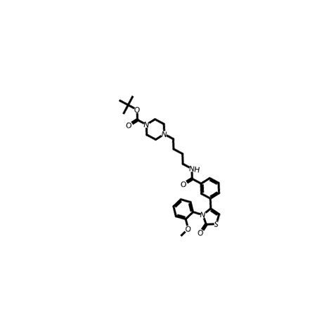 COc1ccccc1-n1c(-c2cccc(C(=O)NCCCCN3CCN(C(=O)OC(C)(C)C)CC3)c2)csc1=O